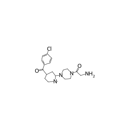 NCC(=O)N1CCN(C2CC(C(=O)c3ccc(Cl)cc3)CC[N]2)CC1